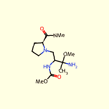 CNC(=O)[C@@H]1CCCN1CC(NC(=O)OC)C(C)(N)OC